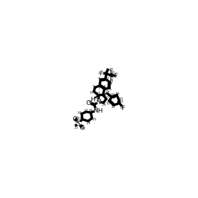 CC(F)(c1ccc2c(c1)CC[C@H]1N(C(=O)NC3CCC(S(C)(=O)=O)CC3)CC[C@@]21Cc1ccc(F)cc1)C(F)(F)F